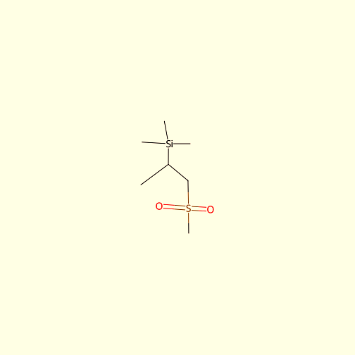 CC(CS(C)(=O)=O)[Si](C)(C)C